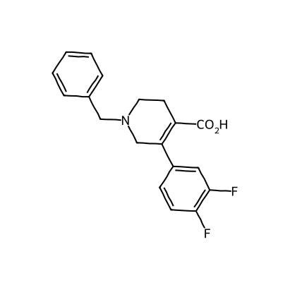 O=C(O)C1=C(c2ccc(F)c(F)c2)CN(Cc2ccccc2)CC1